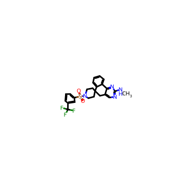 CNc1ncc2c(n1)-c1ccccc1C1(CCN(S(=O)(=O)c3cccc(C(F)(F)F)c3)CC1)C2